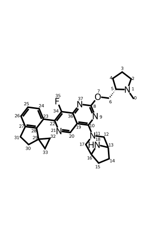 CN1CCC[C@H]1COc1nc(N2CC3CCC(C2)N3)c2cnc(-c3cccc4c3C3(CC4)CC3)c(F)c2n1